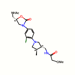 COCC(=O)NC[C@H]1CN(c2ccc(N3C[C@H](CNC(C)=O)OC3=O)cc2F)C[C@@H]1C